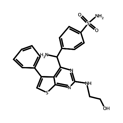 NC(c1ccc(S(N)(=O)=O)cc1)c1nc(NCCO)nc2scc(-c3ccccc3)c12